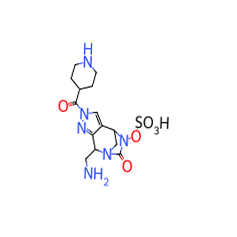 NCC1c2nn(C(=O)C3CCNCC3)cc2C2CN1C(=O)N2OS(=O)(=O)O